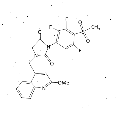 COc1cc(CN2CC(=O)N(c3cc(F)c(S(C)(=O)=O)c(F)c3F)C2=O)c2ccccc2n1